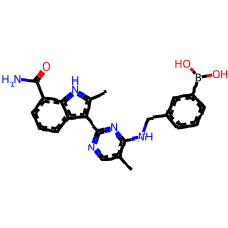 Cc1cnc(-c2c(C)[nH]c3c(C(N)=O)cccc23)nc1NCc1cccc(B(O)O)c1